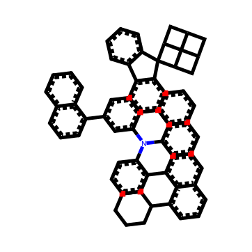 c1ccc(-c2ccc(-c3cccc4ccccc34)cc2N(c2ccccc2-c2ccc3c(c2)C2(c4ccccc4-3)C3CC4CC5CC2C453)c2ccccc2-c2cccc3cccc(C4CCCCC4)c23)cc1